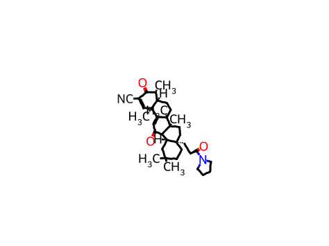 C[C@@H]1C(=O)C(C#N)=C[C@]2(C)C3=CC(=O)C4[C@H]5CC(C)(C)CC[C@]5(CCC(=O)N5CCCC5)CC[C@@]4(C)[C@]3(C)CC[C@@H]12